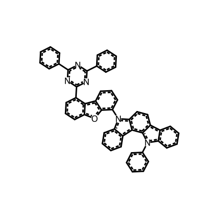 c1ccc(-c2nc(-c3ccccc3)nc(-c3cccc4oc5c(-n6c7ccccc7c7c6ccc6c8ccccc8n(-c8ccccc8)c67)cccc5c34)n2)cc1